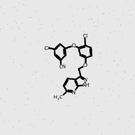 Cc1ccc2c(COc3ccc(Cl)c(Oc4cc(Cl)cc(C#N)c4)c3)n[nH]c2n1